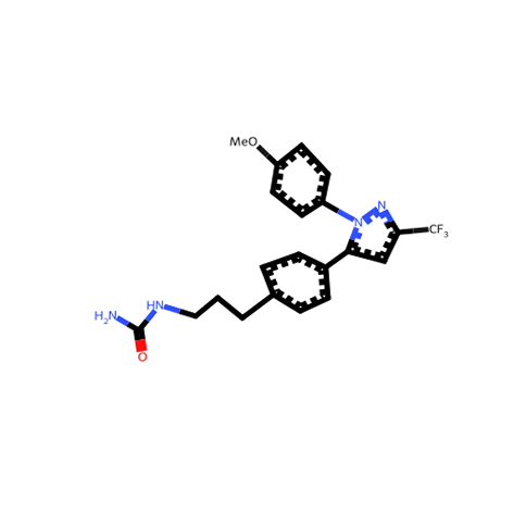 COc1ccc(-n2nc(C(F)(F)F)cc2-c2ccc(CCCNC(N)=O)cc2)cc1